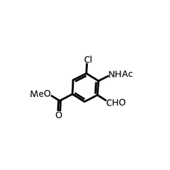 COC(=O)c1cc(Cl)c(NC(C)=O)c(C=O)c1